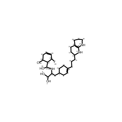 OC(O)C(CC1CC=C(CCCC2CCC3=C(NCCC3)N2)CC1)NC(O)C1C(F)C=CCC1Cl